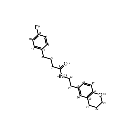 O=C(CCCc1ccc(F)cc1)NCCc1ccc2c(c1)CCCO2